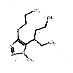 CCCCc1nbn(C)c1C(CC)CCC